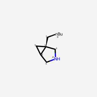 CCCCC[C@@]12CNCC1C2